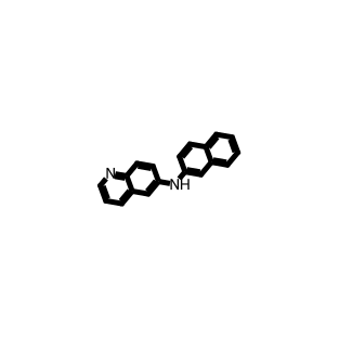 c1ccc2cc(Nc3ccc4ncccc4c3)ccc2c1